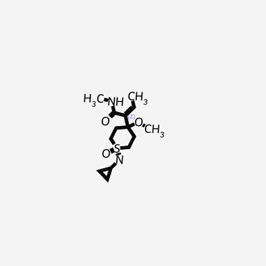 C/C=C(\C(=O)NC)C1(OC)CCS(=O)(=NC2CC2)CC1